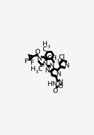 CC1CCC(Cn2c(N3[C@H](C)CN(C(=O)C4CC4(F)F)C[C@H]3C)nc3cc(-c4noc(=O)[nH]4)nc(-c4cncc(Cl)c4)c32)CC1